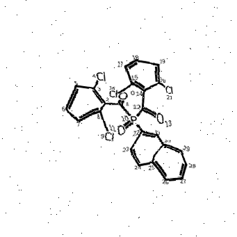 O=C(c1c(Cl)cccc1Cl)P(=O)(C(=O)c1c(Cl)cccc1Cl)c1ccc2ccccc2c1